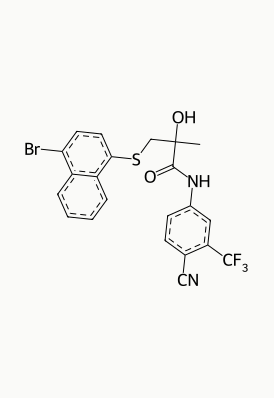 CC(O)(CSc1ccc(Br)c2ccccc12)C(=O)Nc1ccc(C#N)c(C(F)(F)F)c1